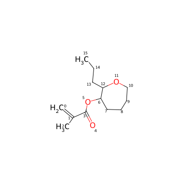 C=C(C)C(=O)OC1CCCCOC1CCC